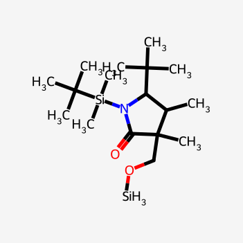 CC1C(C(C)(C)C)N([Si](C)(C)C(C)(C)C)C(=O)C1(C)CO[SiH3]